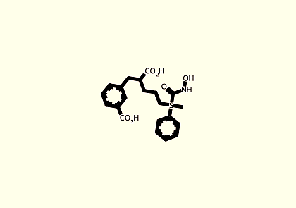 CS(CCCC(Cc1cccc(C(=O)O)c1)C(=O)O)(C(=O)NO)c1ccccc1